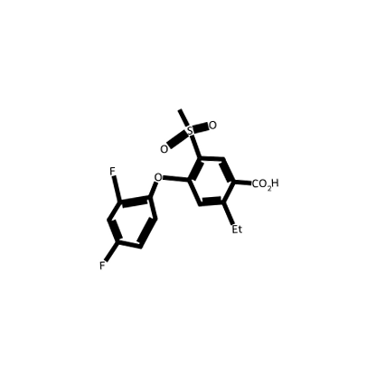 CCc1cc(Oc2ccc(F)cc2F)c(S(C)(=O)=O)cc1C(=O)O